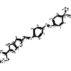 CCCCOC(=O)c1nc2oc(N=Nc3ccc(N=Nc4ccc(N(CC)CC)cc4)cc3)cc2s1